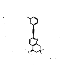 Cc1cccc(C#Cc2ccc3c(n2)CC(C)(C)CC3=O)c1